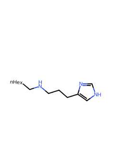 CCCCCCCNCCCc1c[nH]cn1